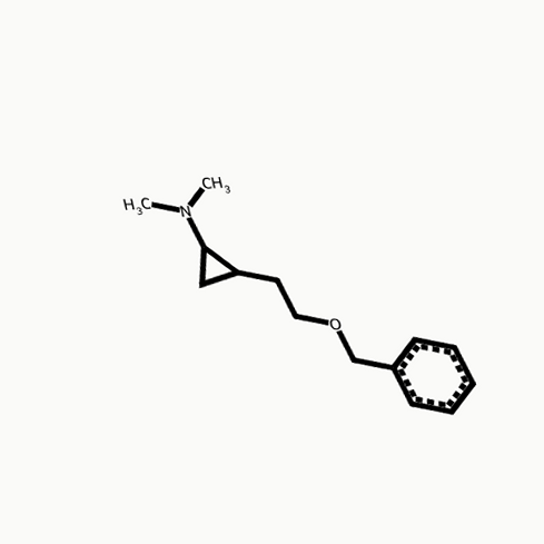 CN(C)C1CC1CCOCc1ccccc1